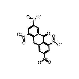 O=c1c2cc([N+](=O)[O-])cc([N+](=O)[O-])c2sc2cc([N+](=O)[O-])cc([N+](=O)[O-])c12